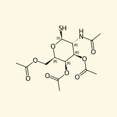 CC(=O)N[C@@H]1[C@@H](OC(C)=O)[C@@H](OC(C)=O)[C@@H](COC(C)=O)O[C@H]1S